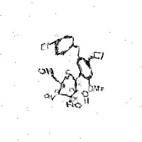 CCc1ccc(Cc2cc([C@@H]3S[C@H](CN=O)[C@@H](N=O)[C@H](N=O)[C@H]3O)c(OC)cc2Cl)cc1